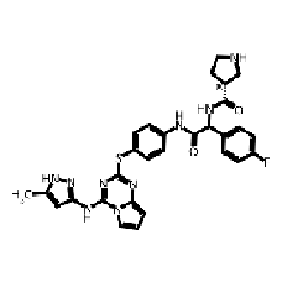 Cc1cc(Nc2nc(Sc3ccc(NC(=O)C(NC(=O)[C@@H]4CCNC4)c4ccc(F)cc4)cc3)nc3cccn23)n[nH]1